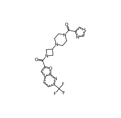 O=C(c1cscn1)N1CCN(C2CN(C(=O)c3cc4ccc(C(F)(F)F)nc4o3)C2)CC1